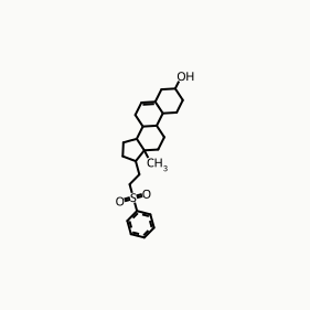 CC12CCC3C4CCC(O)CC4=CCC3C1CCC2CCS(=O)(=O)c1ccccc1